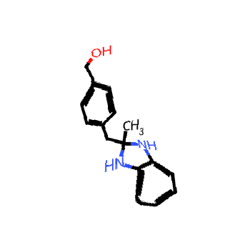 CC1(Cc2ccc(CO)cc2)Nc2ccccc2N1